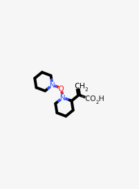 C=C(C(=O)O)C1CCCCN1ON1CCCCC1